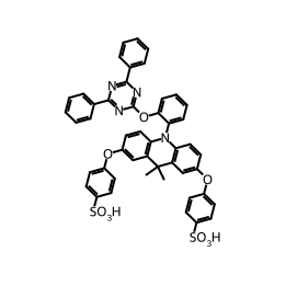 CC1(C)c2cc(Oc3ccc(S(=O)(=O)O)cc3)ccc2N(c2ccccc2Oc2nc(-c3ccccc3)nc(-c3ccccc3)n2)c2ccc(Oc3ccc(S(=O)(=O)O)cc3)cc21